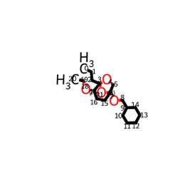 CCCC12OC[C@@](OCC3CCCCC3)(CC[C@H]1OCC)O2